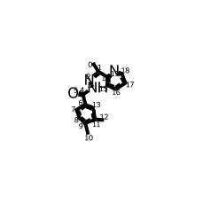 C/C(=N/NC(=O)c1ccc(C)c(C)c1)c1ccccn1